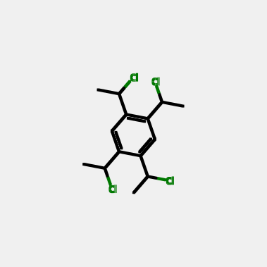 CC(Cl)c1cc(C(C)Cl)c(C(C)Cl)cc1C(C)Cl